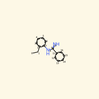 CCc1ccccc1NC(=N)c1ccccc1